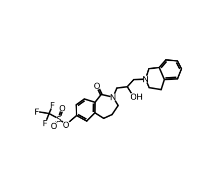 O=C1c2ccc(OS(=O)(=O)C(F)(F)F)cc2CCCN1CC(O)CN1CCc2ccccc2C1